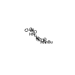 CCCCNC(=O)OCc1cn([C@H]2C[C@H](NC(=O)c3cc(-c4ccccc4)on3)C2)nn1